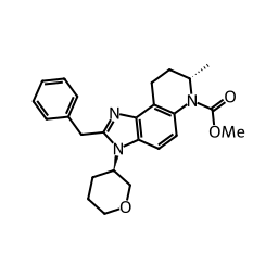 COC(=O)N1c2ccc3c(nc(Cc4ccccc4)n3[C@@H]3CCCOC3)c2CC[C@@H]1C